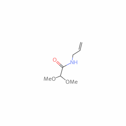 C=CCNC(=O)C(OC)OC